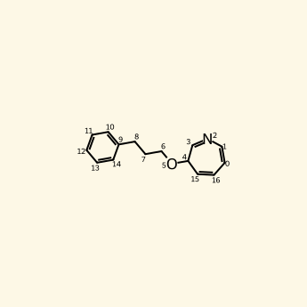 C1=CN=CC(OCCCc2ccccc2)C=C1